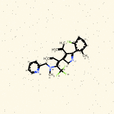 C=C/C(C1=C(C(=C)C)C(c2c(C)cccc2F)=NC1)=C(\N(C)Cc1ccccn1)C(F)(F)F